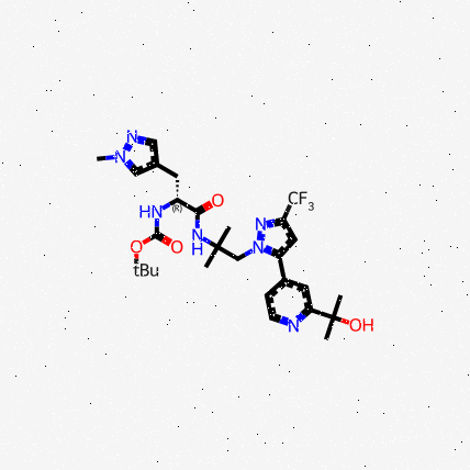 Cn1cc(C[C@@H](NC(=O)OC(C)(C)C)C(=O)NC(C)(C)Cn2nc(C(F)(F)F)cc2-c2ccnc(C(C)(C)O)c2)cn1